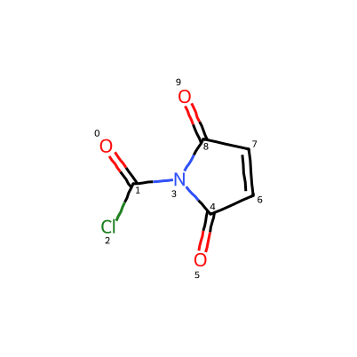 O=C(Cl)N1C(=O)C=CC1=O